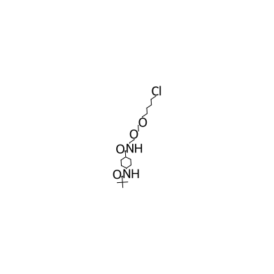 CC(C)(C)C(=O)NC1CCC(C(=O)NCCOCCOCCCCCCCl)CC1